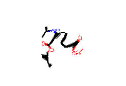 CC(C)NC(CCC(=O)O)C(=O)OC(C)C